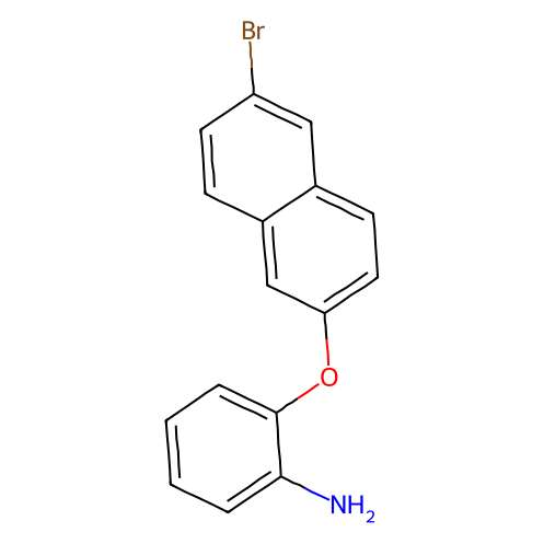 Nc1ccccc1Oc1ccc2cc(Br)ccc2c1